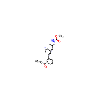 C=C(/C=C(\C=C/C)/C=C/c1cccc(C(=O)OC)c1)CNC(=O)OC(C)(C)C